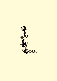 COc1ncc(F)c(N2C[C@@H]3C(CCNC(=O)/C=C/c4cccnc4)[C@@H]3C2)n1